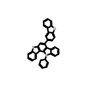 C1=CCC(n2c3ccccc3c3c(-c4ccc5oc6ccccc6c5c4)cc4sc5ccccc5c4c32)C=C1